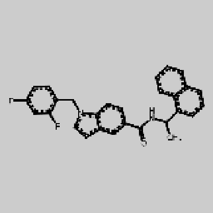 CC(NC(=O)c1ccc2c(ccn2Cc2ccc(F)cc2F)c1)c1cccc2ccccc12